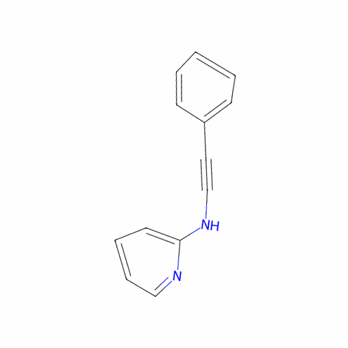 C(#Cc1ccccc1)Nc1ccccn1